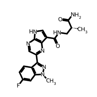 C[C@H](CNC(=O)c1c[nH]c2ncc(-c3nn(C)c4cc(F)ccc34)nc12)C(N)=O